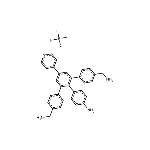 F[B-](F)(F)F.NCc1ccc(-c2cc(-c3ccncc3)cc(-c3ccc(CN)cc3)[n+]2-c2ccc(N)cc2)cc1